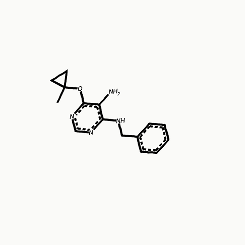 CC1(Oc2ncnc(NCc3ccccc3)c2N)CC1